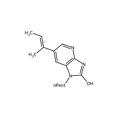 C/C=C(\C)c1cnc2nc(O)n(CCCCC)c2c1